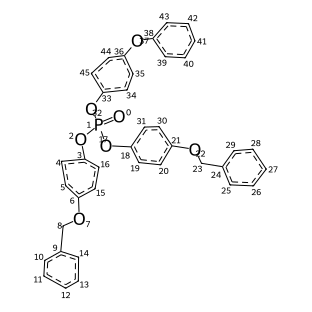 O=P(Oc1ccc(OCc2ccccc2)cc1)(Oc1ccc(OCc2ccccc2)cc1)Oc1ccc(Oc2ccccc2)cc1